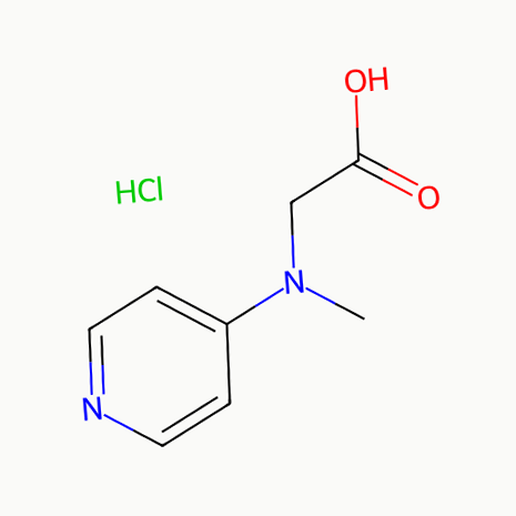 CN(CC(=O)O)c1ccncc1.Cl